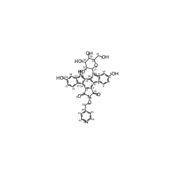 O=C1c2c(c3c4ccc(O)cc4n(C4OC(CO)C(O)C(O)C4O)c3c3[nH]c4cc(O)ccc4c23)C(=O)N1OCc1ccncc1